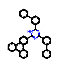 c1ccc(-c2cccc(C3=NC(c4cccc(-c5ccccc5)c4)NC(c4ccc5c6ccccc6c6ccccc6c5c4)=N3)c2)cc1